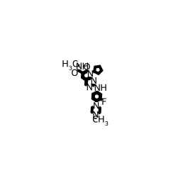 CNC(=O)c1cc2cnc(Nc3ccc(N4CCN(C)CC4)c(F)c3)nc2n(C2CCCC2)c1=O